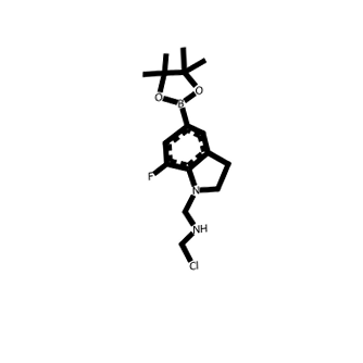 CC1(C)OB(c2cc(F)c3c(c2)CCN3CNCCl)OC1(C)C